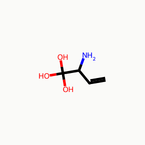 C=CC(N)C(O)(O)O